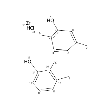 Cc1ccc(C)c(O)c1.Cc1cccc(O)c1C.Cl.[Zr]